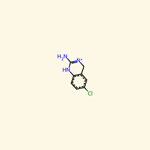 NC1=[N+]Cc2cc(Cl)ccc2N1